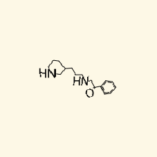 O=C(CNCCCC1CCCNC1)c1ccccc1